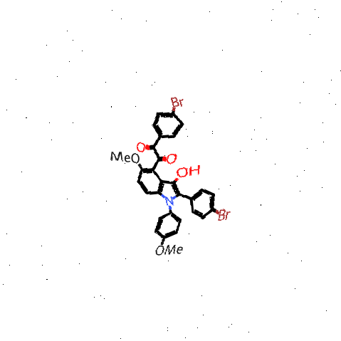 COc1ccc(-n2c(-c3ccc(Br)cc3)c(O)c3c(C(=O)C(=O)c4ccc(Br)cc4)c(OC)ccc32)cc1